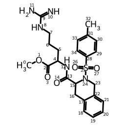 COC(=O)C(CCCNC(=N)N)NC(=O)C1Cc2ccccc2CN1S(=O)(=O)c1ccc(C)cc1